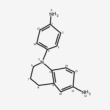 Nc1ccc(N2CCCc3cc(N)ccc32)cc1